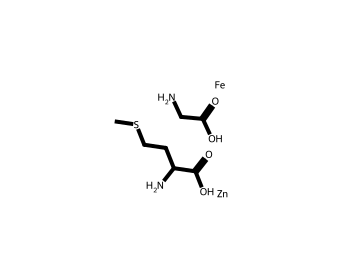 CSCCC(N)C(=O)O.NCC(=O)O.[Fe].[Zn]